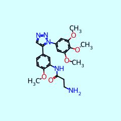 COc1ccc(-c2cnnn2-c2cc(OC)c(OC)c(OC)c2)cc1NC(=O)CCN